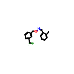 Cc1ccccc1/[C]=N\OCc1cccc(C(F)F)c1